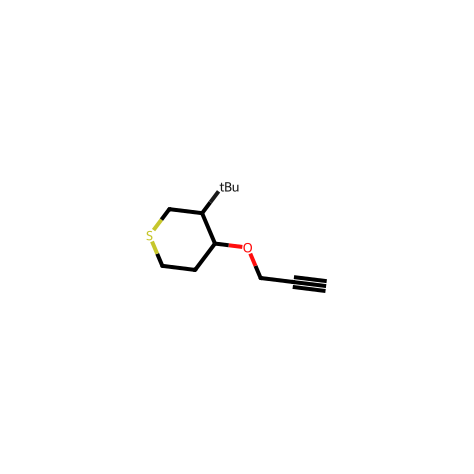 C#CCOC1CCSCC1C(C)(C)C